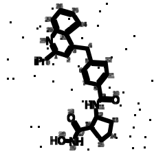 CC(C)c1cc(Cc2ccc(C(=O)NC3CCCC3C(=O)NO)cc2)c2ccccc2n1